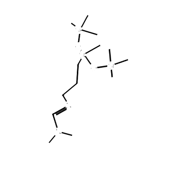 CN(C)/C=N/CCC[Si](C)(O[Si](C)(C)C)O[Si](C)(C)C